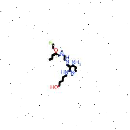 C=C/C=C(\CN(C)CCN/C=C1\C(N)C=CN(C)C1NCCCCCO)OCCF